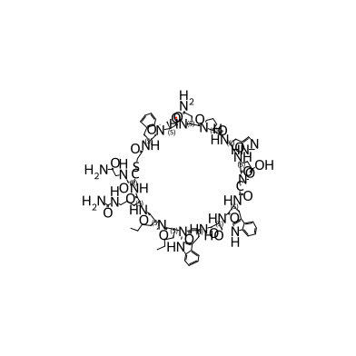 CCCC[C@H]1C(=O)N(C)[C@@H](CCCC)C(=O)N[C@@H](CCCNC(N)=O)C(=O)N[C@H](C(=O)NCC(N)=O)CSCC(=O)N[C@@H](Cc2ccccc2)C(=O)N(C)[C@@H](C)C(=O)N[C@@H](CC(N)=O)C(=O)N2CCC[C@H]2C(=O)N[C@@H](Cc2cnc[nH]2)C(=O)N[C@@H](CC(=O)O)C(=O)N(C)CC(=O)N[C@@H](Cc2c[nH]c3ccccc23)C(=O)N[C@@H](CO)C(=O)N[C@@H](Cc2c[nH]c3ccccc23)C(=O)N1C